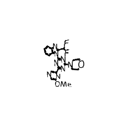 COc1cncc(-c2nc(N3CCOCC3)nc(-n3c(C(F)F)nc4ccccc43)n2)n1